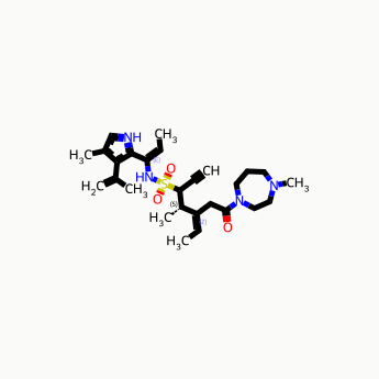 C#CC([C@@H](C)/C(=C\C)CC(=O)N1CCCN(C)CC1)S(=O)(=O)N/C(=C/C)c1[nH]cc(C)c1C(=C)C